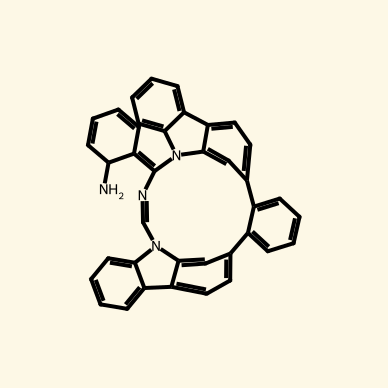 NC1C=CC=C/C1=c1/ncn2c3ccccc3c3ccc(cc32)c2ccccc2c2ccc3c4ccccc4n1c3c2